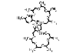 COCC(C)OCC(C)OCC(C)OCC(C)OCC(C)OCC(C)OCC(C)OCC(C)OCC(C)OCC(C)OCC(C)OCC(C)OC